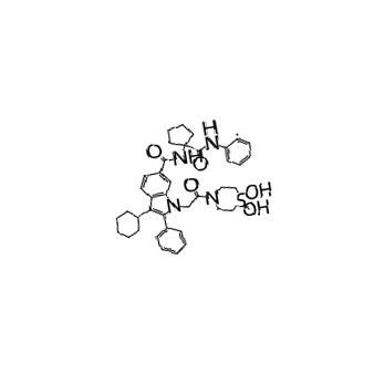 O=C(NC1(C(=O)Nc2[c]cccc2)CCCC1)c1ccc2c(C3CCCCC3)c(-c3ccccc3)n(CC(=O)N3CCS(O)(O)CC3)c2c1